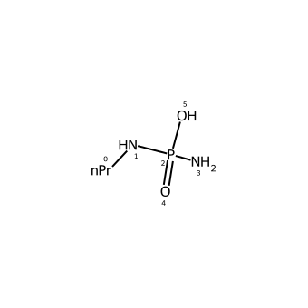 CCCNP(N)(=O)O